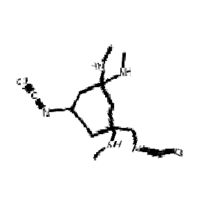 CNC1(CN=C=O)CC(N=C=O)CC(NC)(NC)C1